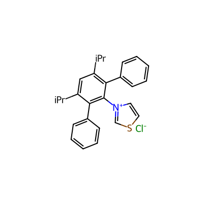 CC(C)c1cc(C(C)C)c(-c2ccccc2)c(-[n+]2ccsc2)c1-c1ccccc1.[Cl-]